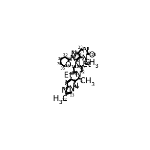 CC[C@H]1CN(C(C)c2ccc3nc(C)cn3n2)[C@H](CC)CN1c1c2c(cnc(=O)n2C)nn1C1CCCCO1